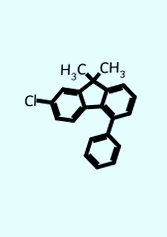 CC1(C)c2cc(Cl)ccc2-c2c(-c3ccccc3)cccc21